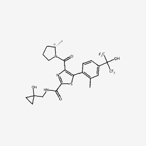 Cc1cc(C(O)(C(F)(F)F)C(F)(F)F)ccc1-c1sc(C(=O)NCC2(O)CC2)nc1C(=O)N1CCC[C@@H]1C